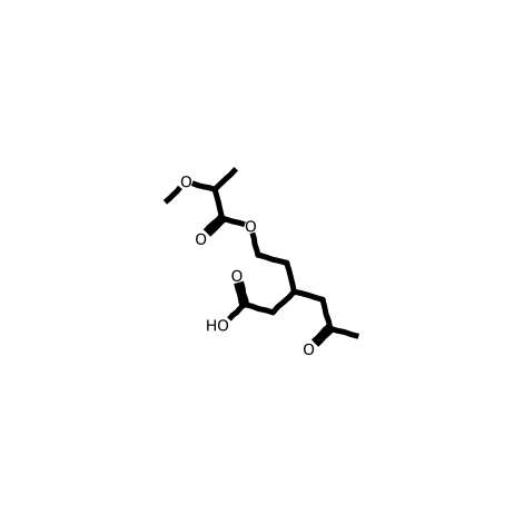 COC(C)C(=O)OCCC(CC(C)=O)CC(=O)O